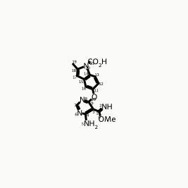 COC(=N)c1c(N)ncnc1Oc1ccc2c(c1)cc(C)n2C(=O)O